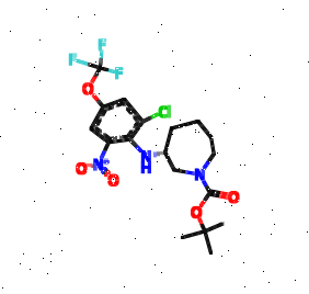 CC(C)(C)OC(=O)N1CCCC[C@@H](Nc2c(Cl)cc(OC(F)(F)F)cc2[N+](=O)[O-])C1